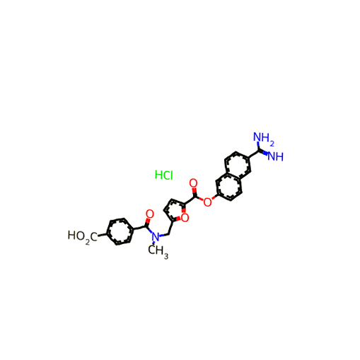 CN(Cc1ccc(C(=O)Oc2ccc3cc(C(=N)N)ccc3c2)o1)C(=O)c1ccc(C(=O)O)cc1.Cl